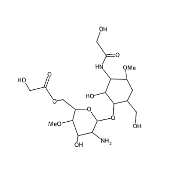 COC1CC(CO)C(OC2OC(COC(=O)CO)C(OC)C(O)C2N)C(O)C1NC(=O)CO